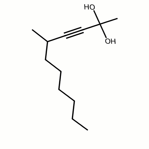 CCCCCCC(C)C#CC(C)(O)O